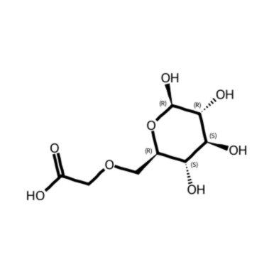 O=C(O)COC[C@H]1O[C@@H](O)[C@H](O)[C@@H](O)[C@@H]1O